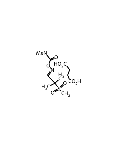 CNC(=O)O/N=C/C(C)(C)S(C)(=O)=O.O=C(O)CCC(=O)O